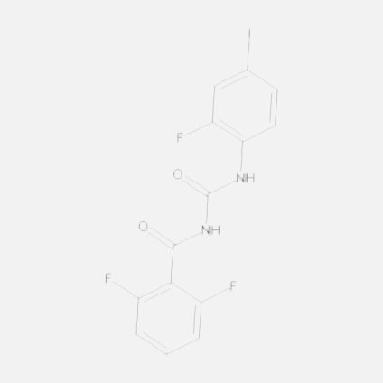 O=C(NC(=O)c1c(F)cccc1F)Nc1ccc(I)cc1F